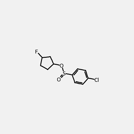 O=S(OC1CCC(F)C1)c1ccc(Cl)cc1